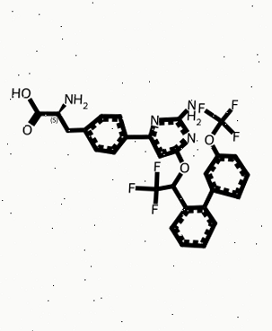 Nc1nc(OC(c2ccccc2-c2cccc(OC(F)(F)F)c2)C(F)(F)F)cc(-c2ccc(C[C@H](N)C(=O)O)cc2)n1